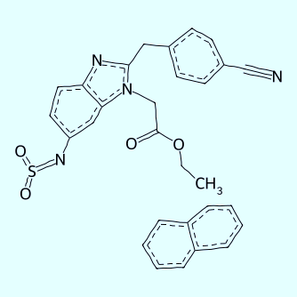 CCOC(=O)Cn1c(Cc2ccc(C#N)cc2)nc2ccc(N=S(=O)=O)cc21.c1ccc2ccccc2c1